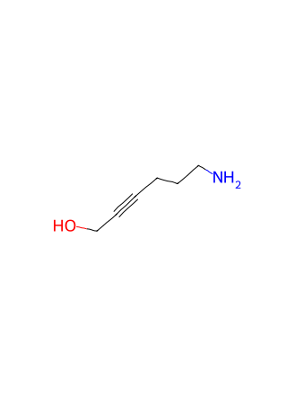 NCCCC#CCO